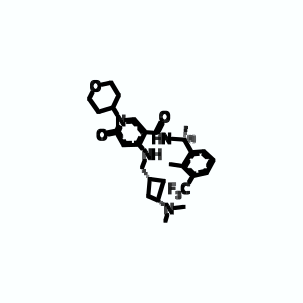 Cc1c([C@@H](C)NC(=O)c2cn(C3CCOCC3)c(=O)cc2NC[C@H]2C[C@@H](N(C)C)C2)cccc1C(F)(F)F